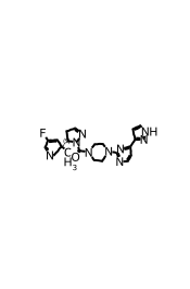 CC1([C@@H]2CC=NN2C(=O)N2CCN(c3nccc(-c4cc[nH]n4)n3)CC2)C=C(F)C=NC1